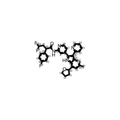 O=C(Nc1cc(-c2[nH]c3c(C4CCCO4)cc(F)nc3c2-c2ccccn2)ccn1)C(CC(F)F)c1ccc(F)cc1